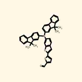 CC1(C)c2ccccc2-c2ccc(N(c3ccc4c(c3)C(C)(C)c3ccccc3-4)c3ccc4cc(-c5ccc(C=O)s5)oc4c3)cc21